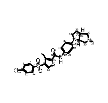 Cc1c(S(=O)(=O)c2ccc(Cl)cc2)csc1C(=O)Nc1ccc(N2CC[C@H]3CN(C)C[C@H]32)cc1